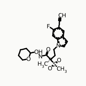 C#Cc1cc2ccn(CC[C@](C)(C(=O)NOC3CCCCO3)S(C)(=O)=O)c2cc1F